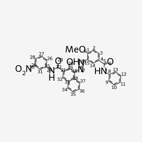 COc1ccc(C(=O)Nc2ccccc2)cc1N=Nc1c(O)c(C(=O)Nc2cccc([N+](=O)[O-])c2)cc2ccccc12